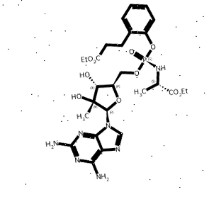 CCOC(=O)CCc1ccccc1O[P@](=O)(N[C@@H](C)C(=O)OCC)OC[C@H]1O[C@@H](n2cnc3c(N)nc(N)nc32)[C@](C)(O)[C@@H]1O